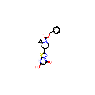 O=C(OCc1ccccc1)N1CCC(c2nn3c(=O)cc(O)nc3s2)CC12CC2